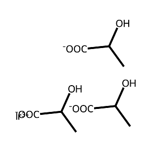 CC(O)C(=O)[O-].CC(O)C(=O)[O-].CC(O)C(=O)[O-].[Ir+3]